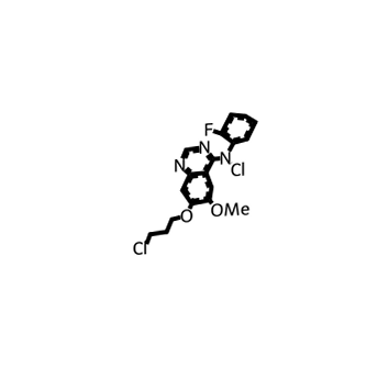 COc1cc2c(N(Cl)c3ccccc3F)ncnc2cc1OCCCCl